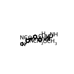 Cc1c(-c2nc3cc(CN4CCCC4)cc(C#N)c3o2)cccc1-c1cccc(NC(=O)c2nc3c(n2C)CCNC3)c1Cl